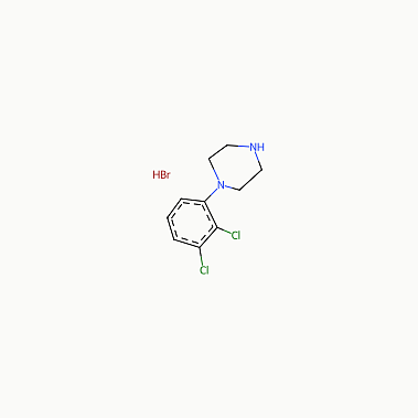 Br.Clc1cccc(N2CCNCC2)c1Cl